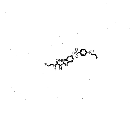 O=C(NCCF)Nc1nc2ccc(OS(=O)(=O)c3ccc(NCCF)cc3)cc2[nH]1